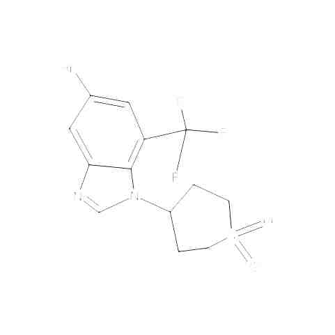 O=S1(=O)CCC(n2cnc3cc(Br)cc(C(F)(F)F)c32)CC1